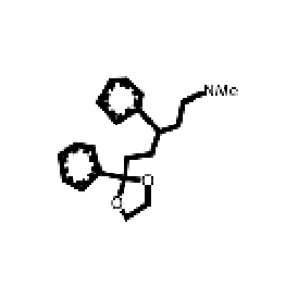 CNCCC(CCC1(c2ccccc2)OCCO1)c1ccccc1